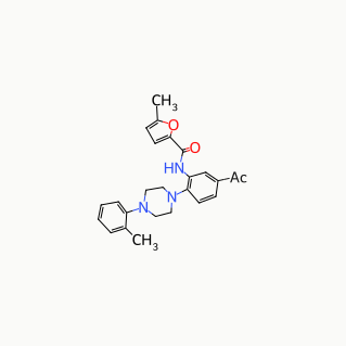 CC(=O)c1ccc(N2CCN(c3ccccc3C)CC2)c(NC(=O)c2ccc(C)o2)c1